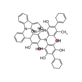 Cc1c(O)c(N(C2=C(O)C(O)C(c3ccccc3-n3c4ccccc4c4ccccc43)C(O)=C2O)c2c(O)c(O)c(C3=CCCC=C3)c(O)c2O)c(O)c(O)c1C1=CC=CCC1